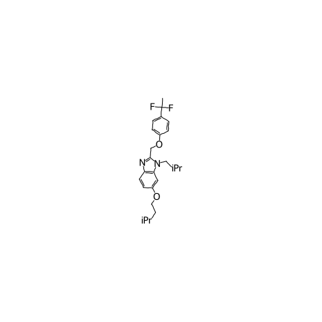 CC(C)CCOc1ccc2nc(COc3ccc(C(C)(F)F)cc3)n(CC(C)C)c2c1